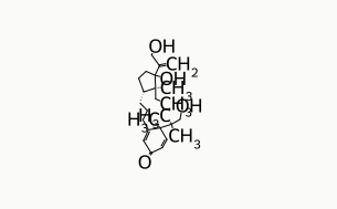 C=C(CO)C1(O)CC[C@@H](CCCC2=CC(=O)C=C[C@]2(C)C(C)(C)CO)[C@]1(C)CC